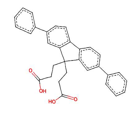 O=C(O)CCC1(CCC(=O)O)c2cc(-c3ccccc3)ccc2-c2ccc(-c3ccccc3)cc21